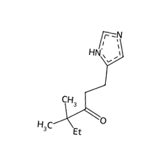 CCC(C)(C)C(=O)CCc1cnc[nH]1